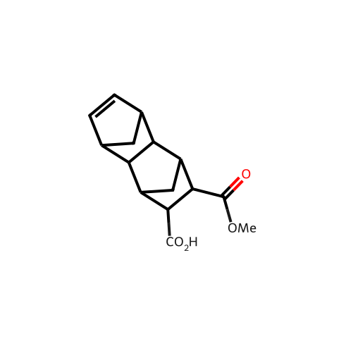 COC(=O)C1C2CC(C1C(=O)O)C1C3C=CC(C3)C21